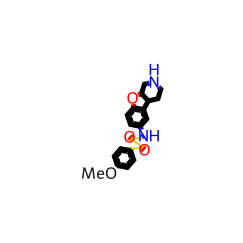 COc1ccc(S(=O)(=O)Nc2ccc3c(c2)C2CCNCC2O3)cc1